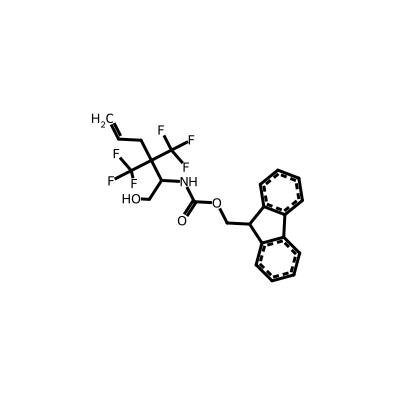 C=CCC(C(CO)NC(=O)OCC1c2ccccc2-c2ccccc21)(C(F)(F)F)C(F)(F)F